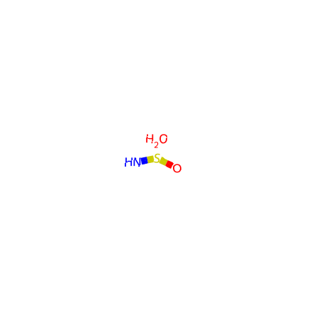 N=S=O.O